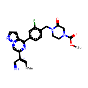 CN/C=C(\C=N)c1cn2nccc2c(-c2ccc(CN3CCN(C(=O)OC(C)(C)C)CC3=O)c(F)c2)n1